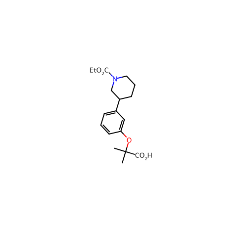 CCOC(=O)N1CCCC(c2cccc(OC(C)(C)C(=O)O)c2)C1